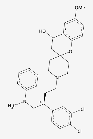 COc1ccc2c(c1)C(O)CC1(CCN(CC[C@H](CN(C)c3ccccc3)c3ccc(Cl)c(Cl)c3)CC1)O2